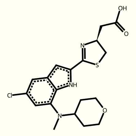 CN(c1cc(Cl)cc2cc(C3=N[C@@H](CC(=O)O)CS3)[nH]c12)C1CCOCC1